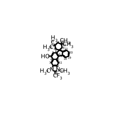 CN1c2cc3c(O)cc4c(c3cc2N(C)C1C(F)(F)F)-c1ccccc1C41CC(C)(C)CC(C)(C)C1